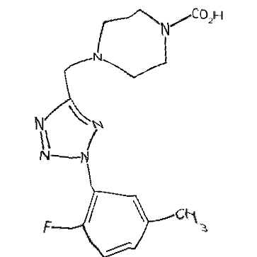 Cc1ccc(F)c(-n2nnc(CN3CCN(C(=O)O)CC3)n2)c1